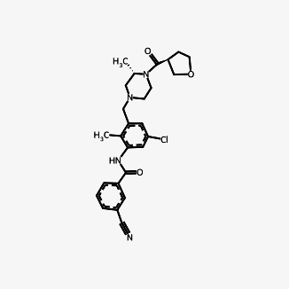 Cc1c(CN2CCN(C(=O)[C@H]3CCOC3)[C@@H](C)C2)cc(Cl)cc1NC(=O)c1cccc(C#N)c1